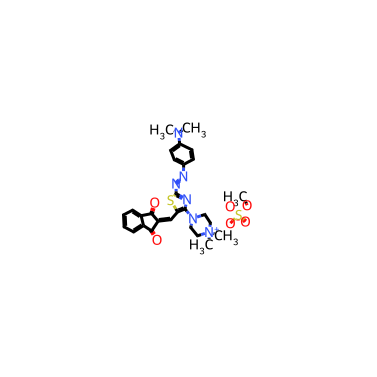 CN(C)c1ccc(N=Nc2nc(N3CC[N+](C)(C)CC3)c(C=C3C(=O)c4ccccc4C3=O)s2)cc1.COS(=O)(=O)[O-]